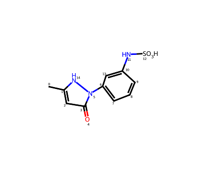 Cc1cc(=O)n(-c2cccc(NS(=O)(=O)O)c2)[nH]1